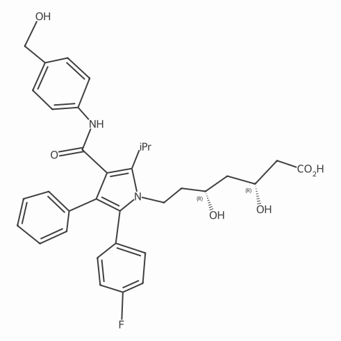 CC(C)c1c(C(=O)Nc2ccc(CO)cc2)c(-c2ccccc2)c(-c2ccc(F)cc2)n1CC[C@@H](O)C[C@@H](O)CC(=O)O